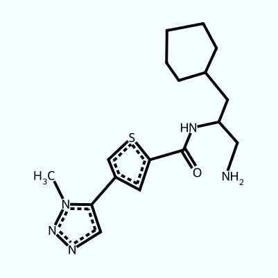 Cn1nncc1-c1csc(C(=O)NC(CN)CC2CCCCC2)c1